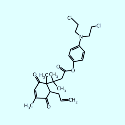 C=CCC1C(=O)C(C)=CC(=O)C1(C)C(C)(C)CC(=O)Oc1ccc(N(CCCl)CCCl)cc1